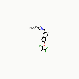 CC(C(F)F)[C@@H](F)Oc1ccc2c(c1)C[C@H](C)C(CN1CC(C(=O)O)C1)=C2